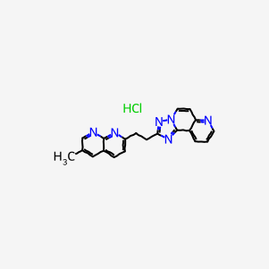 Cc1cnc2nc(CCc3nc4c5cccnc5ccn4n3)ccc2c1.Cl